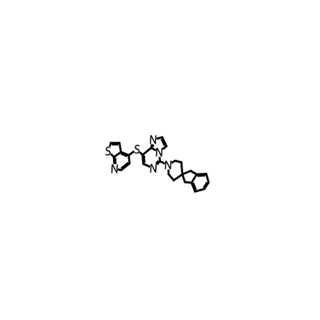 c1ccc2c(c1)CC1(CCN(c3ncc(Sc4ccnc5sccc45)c4nccn34)CC1)C2